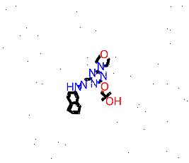 CC(C)(O)COc1nc(/C=N/Nc2ccc3ccccc3c2)nc(N2CCOCC2)n1